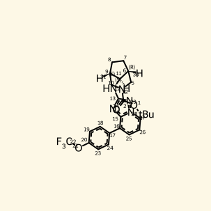 CC(C)(C)OC(=O)N1C[C@H]2CC[C@@H](C1)[C@@H]2Nc1nc2c(-c3ccc(OC(F)(F)F)cc3)cccn2n1